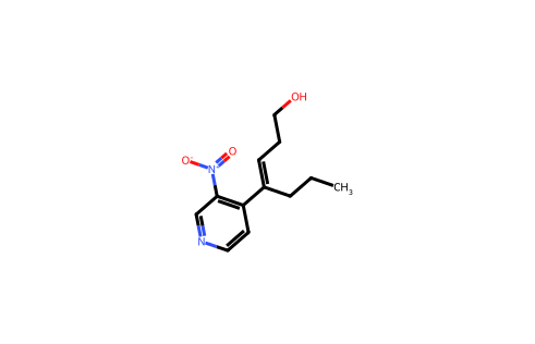 CCCC(=CCCO)c1ccncc1[N+](=O)[O-]